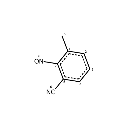 Cc1cccc(C#N)c1N=O